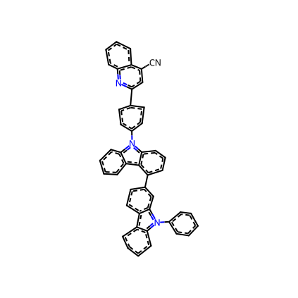 N#Cc1cc(-c2ccc(-n3c4ccccc4c4c(-c5ccc6c7ccccc7n(-c7ccccc7)c6c5)cccc43)cc2)nc2ccccc12